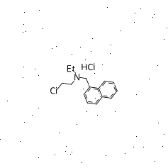 CCN(CCCl)Cc1cccc2ccccc12.Cl